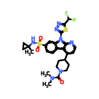 CN(C)C(=O)N1CCC(c2ccnc3c2c2ccc(S(=O)(=O)NC4(C)CC4)cc2n3-c2nnc(C(F)F)s2)CC1